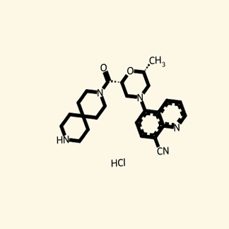 C[C@@H]1CN(c2ccc(C#N)c3ncccc23)C[C@H](C(=O)N2CCC3(CCNCC3)CC2)O1.Cl